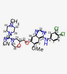 COc1cc2c(Nc3ccc(Cl)c(Cl)c3)ncnc2cc1OCC1CN(/C(=N\C#N)N2CCN(C)CC2)CCO1